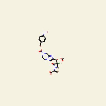 CC(=O)OC(c1cn2c(n1)CN(C(=O)OCc1ccc([N+](=O)[O-])cc1)CC2)C1(Br)C(=O)N2C(C(=O)O)=CS[C@@H]21